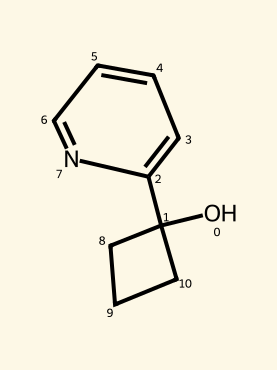 OC1(c2ccccn2)CCC1